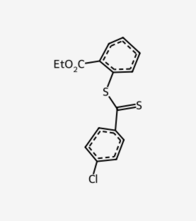 CCOC(=O)c1ccccc1SC(=S)c1ccc(Cl)cc1